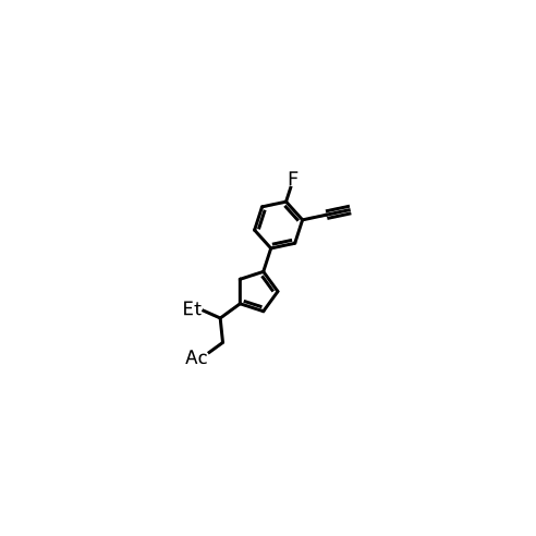 C#Cc1cc(C2=CC=C(C(CC)CC(C)=O)C2)ccc1F